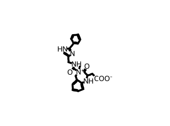 C[N+]1(C(=O)NCc2c[nH]c(-c3ccccc3)n2)Cc2ccccc2NC(CC(=O)[O-])C1=O